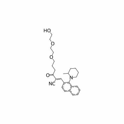 CC1CCCCN1c1c(/C=C(\C#N)C(=O)CCCOCCOCCO)ccc2ccccc12